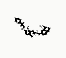 N#Cc1ccc(NCC(F)(F)c2ccccn2)[n+]([O-])c1CC(=O)NCc1ccc2ccnc(N)c2c1